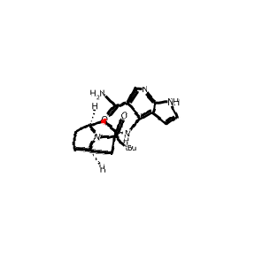 CC(C)(C)C(=O)N1[C@@H]2CC[C@H]1C[C@H](Nc1c(C(N)=O)cnc3[nH]ccc13)C2